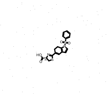 O=C(O)[C@@H]1CSC(C2=Cc3ccn(S(=O)(=O)c4ccccc4)c3CC2)=N1